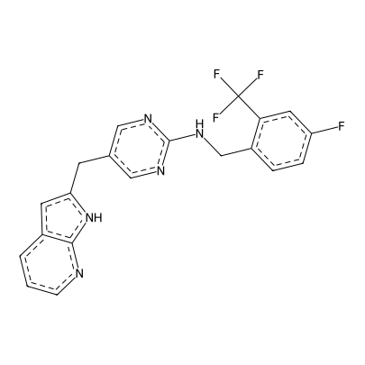 Fc1ccc(CNc2ncc(Cc3cc4cccnc4[nH]3)cn2)c(C(F)(F)F)c1